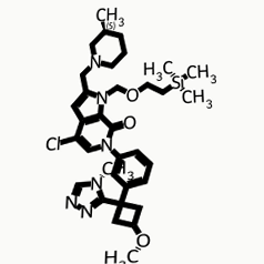 COC1CC(c2cccc(-n3cc(Cl)c4cc(CN5CCC[C@H](C)C5)n(COCC[Si](C)(C)C)c4c3=O)c2)(c2nncn2C)C1